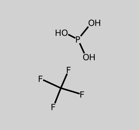 FC(F)(F)F.OP(O)O